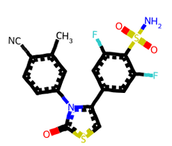 Cc1cc(-n2c(-c3cc(F)c(S(N)(=O)=O)c(F)c3)csc2=O)ccc1C#N